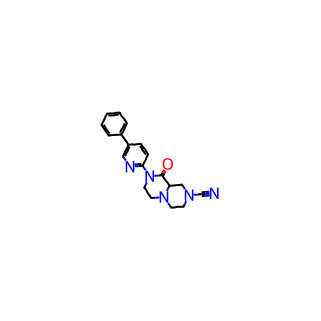 N#CN1CCN2CCN(c3ccc(-c4ccccc4)cn3)C(=O)C2C1